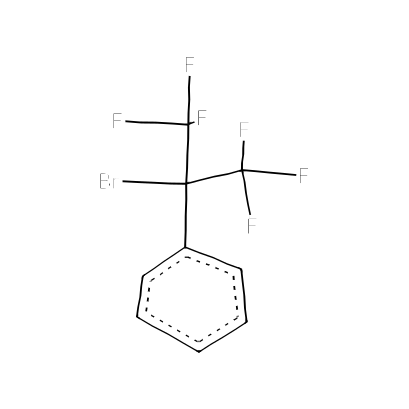 FC(F)(F)C(Br)(c1ccccc1)C(F)(F)F